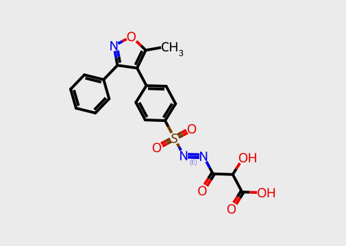 Cc1onc(-c2ccccc2)c1-c1ccc(S(=O)(=O)/N=N/C(=O)C(O)C(=O)O)cc1